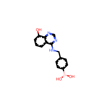 OB(O)c1ccc(CNc2ncnc3c(O)cccc23)cc1